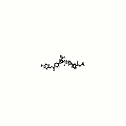 O=C(Nc1cn(C2CCN(C(=O)CCC3CCNCC3)CC2)nc1C(F)F)c1coc(-c2ccnc(NCC3CC3)c2)n1